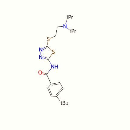 CC(C)N(CCSc1nnc(NC(=O)c2ccc(C(C)(C)C)cc2)s1)C(C)C